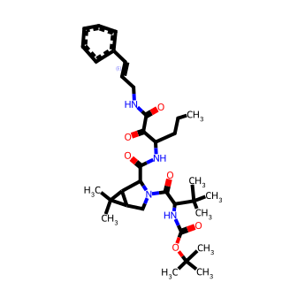 CCCC(NC(=O)C1C2C(CN1C(=O)C(NC(=O)OC(C)(C)C)C(C)(C)C)C2(C)C)C(=O)C(=O)NC/C=C/c1ccccc1